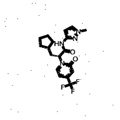 Cn1ccc(NC(=O)[C@H](CC2CCCC2)n2ccc(C(F)(F)F)cc2=O)n1